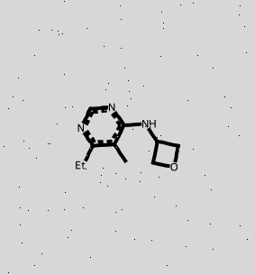 CCc1ncnc(NC2COC2)c1C